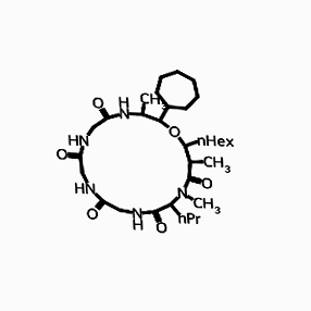 CCCCCCC1OC(C2CCCCCC2)C(C)NC(=O)CNC(=O)CNC(=O)CNC(=O)C(CCC)N(C)C(=O)C1C